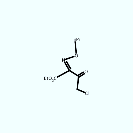 CCCON=C(C(=O)CCl)C(=O)OCC